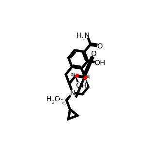 C[C@@H](C1CC1)N1CC[C@]23CC(=O)CC[C@@]2(O)C1Cc1ccc(C(N)=O)c(O)c13